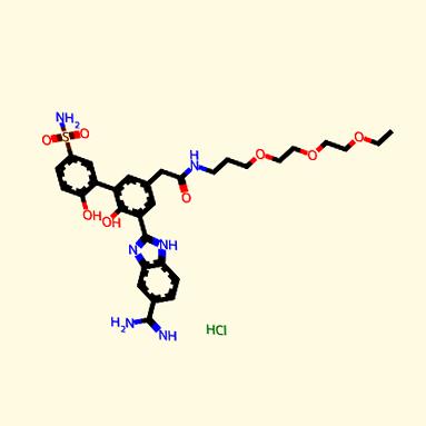 CCOCCOCCOCCCNC(=O)Cc1cc(-c2nc3cc(C(=N)N)ccc3[nH]2)c(O)c(-c2cc(S(N)(=O)=O)ccc2O)c1.Cl